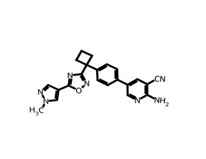 Cn1cc(-c2nc(C3(c4ccc(-c5cnc(N)c(C#N)c5)cc4)CCC3)no2)cn1